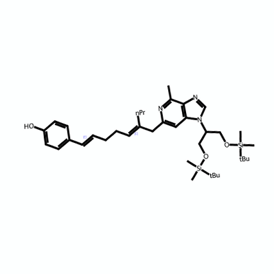 CCC/C(=C\CC/C=C/c1ccc(O)cc1)Cc1cc2c(ncn2C(CO[Si](C)(C)C(C)(C)C)CO[Si](C)(C)C(C)(C)C)c(C)n1